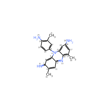 Cc1cc(-n2c3cc(=N)c(C)cc-3nc3c(C)cc(N)cc32)ccc1N